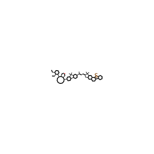 C=Cc1cccc(-c2ccccccc(-c3ccc4c(c3)C(C)(C)c3cc(/C(C)=C/C=C5\Cc6cc7ccc8c9ccccc9sc8c7cc6C5(C)C)ccc3-4)c(C=C)c2C=C)c1C=C